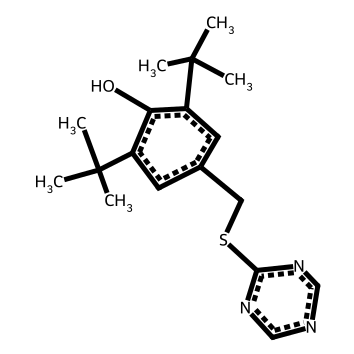 CC(C)(C)c1cc(CSc2ncncn2)cc(C(C)(C)C)c1O